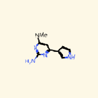 CNc1cc(-c2cc[nH]c2)nc(N)n1